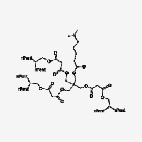 CCCCCC(CCCCC)COC(=O)CC(=O)OCC(COC(=O)CCCCN(C)C)(COC(=O)CC(=O)OCC(CCCCC)CCCCC)COC(=O)CC(=O)OCC(CCCCC)CCCCC